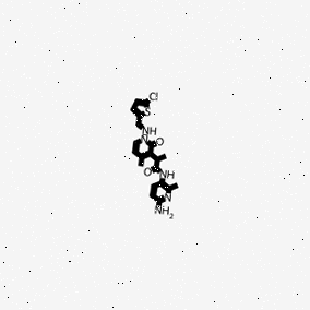 Cc1ccn(NCc2ccc(Cl)s2)c(=O)c1C(C)C(=O)Nc1ccc(N)nc1C